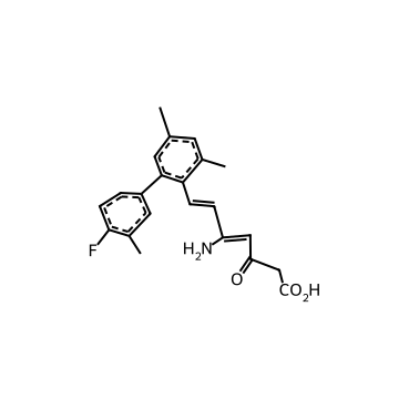 Cc1cc(C)c(/C=C/C(N)=C/C(=O)CC(=O)O)c(-c2ccc(F)c(C)c2)c1